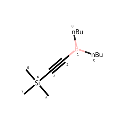 CCCCB(C#C[Si](C)(C)C)CCCC